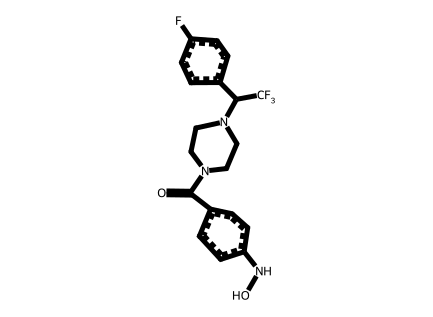 O=C(c1ccc(NO)cc1)N1CCN(C(c2ccc(F)cc2)C(F)(F)F)CC1